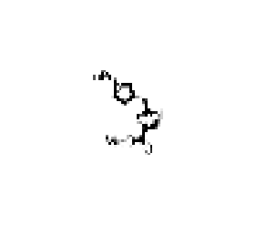 CCCN1CC[C@@H](Cc2ncc(C(=O)OC)s2)C1